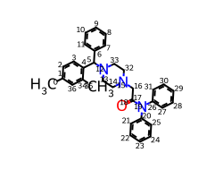 Cc1ccc(C(c2ccccc2)N2CCN(CC(=O)N(c3ccccc3)c3ccccc3)CC2)c(C)c1